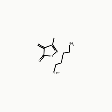 C=C1C(=O)ON=C1C.CCCCCCCCCCCCN